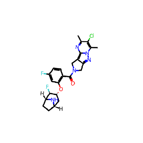 Cc1nc2c3c(nn2c(C)c1Cl)CN(C(=O)c1ccc(F)cc1O[C@@H]1C[C@@H]2CC[C@@H](N2)[C@H]1F)C3